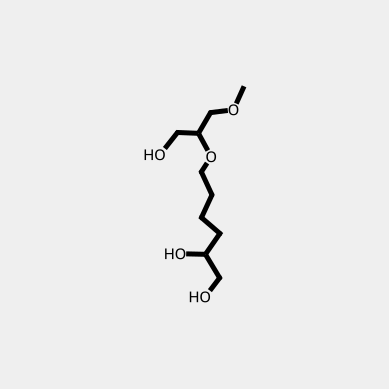 COCC(CO)OCCCCC(O)CO